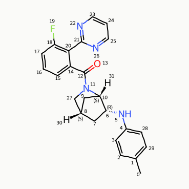 Cc1ccc(N[C@@H]2C[C@H]3C[C@@H]2N(C(=O)c2cccc(F)c2-c2ncccn2)C3)cc1